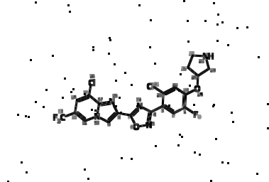 Fc1cc(-c2noc(-c3cn4cc(C(F)(F)F)cc(Cl)c4n3)n2)c(Cl)cc1OC1CCNC1